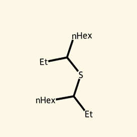 CCCCCCC(CC)SC(CC)CCCCCC